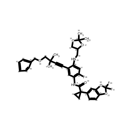 CC(C)(C#Cc1cc(NC(=O)C2(c3ccc4c(c3)OC(F)(F)O4)CC2)c(F)cc1NCC1COC(C)(C)O1)COCc1ccccc1